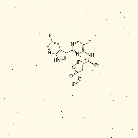 CC(C)OP(=O)(CC[C@@H](Nc1nc(-c2c[nH]c3ncc(F)cc23)ncc1F)C(C)C)OC(C)C